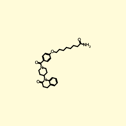 NC(=O)CCCCCCCOc1ccc(C(=O)N2CCC(N3C(=O)CCc4ccccc43)CC2)cc1